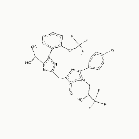 CC(O)c1nc(Cn2nc(-c3ccc(Cl)cc3)n(CC(O)C(F)(F)F)c2=O)nn1-c1ncccc1OC(F)(F)F